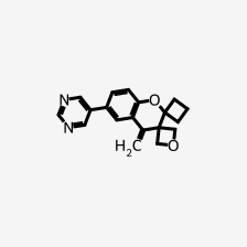 C=C1c2cc(-c3cncnc3)ccc2OC2(CCC2)C12COC2